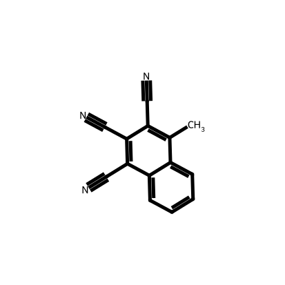 Cc1c(C#N)c(C#N)c(C#N)c2ccccc12